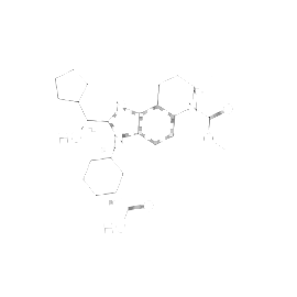 COC(=O)N1c2ccc3c(nc([C@@H](O)C4CCCC4)n3[C@@H]3CCC[C@@H](C(=O)O)C3)c2CC[C@@H]1C